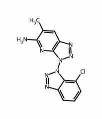 Cc1cc2nnn(-n3nnc4cccc(Cl)c43)c2nc1N